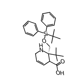 CC(C)(C)[C@]1(CO[Si](c2ccccc2)(c2ccccc2)C(C)(C)C)NCC=CC1C(=O)O